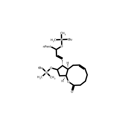 CCCCCC(/C=C/[C@H]1C(O[Si](C)(C)C(C)(C)C)C[C@@H]2OC(=O)CCC/C=C\C[C@@H]21)O[Si](C)(C)C(C)(C)C